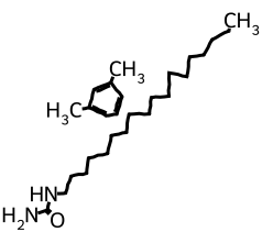 CCCCCCCCCCCCCCCCCCNC(N)=O.Cc1cccc(C)c1